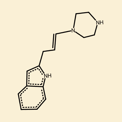 C(=CN1CCNCC1)Cc1cc2ccccc2[nH]1